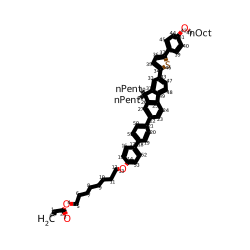 C=CC(=O)OCCCCCCCCOc1ccc(-c2ccc(-c3ccc4c(c3)C(CCCCC)(CCCCC)c3cc(-c5ccc(-c6ccc(OCCCCCCCC)cc6)s5)ccc3-4)cc2)cc1